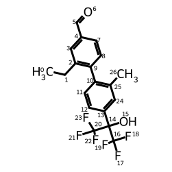 CCc1cc(C=O)ccc1-c1ccc(C(O)(C(F)(F)F)C(F)(F)F)cc1C